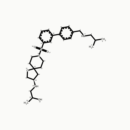 CC(C)CNCc1ccc(-c2cccc(S(=O)(=O)N3CCC4(CC3)C[C@@H](NCC(C)O)CO4)c2)cc1